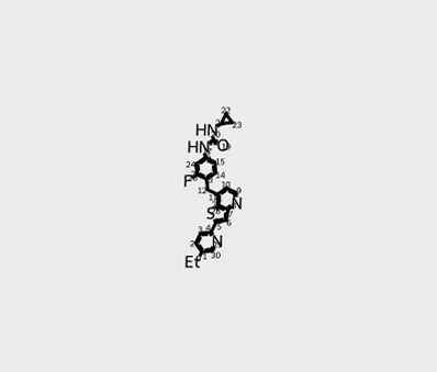 CCc1ccc(-c2cc3nccc(Cc4ccc(NC(=O)NC5CC5)cc4F)c3s2)nc1